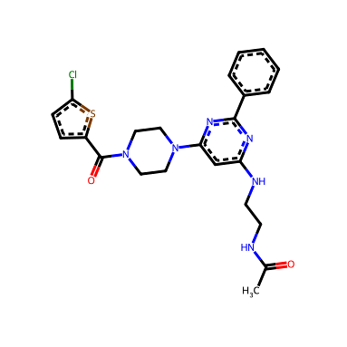 CC(=O)NCCNc1cc(N2CCN(C(=O)c3ccc(Cl)s3)CC2)nc(-c2ccccc2)n1